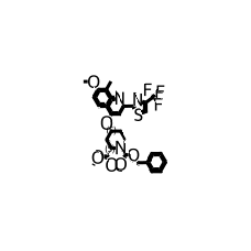 COC(=O)[C@@H]1C[C@@H](Oc2cc(-c3nc(C(F)(F)F)cs3)nc3c(C)c(OC)ccc23)CCN1C(=O)OCc1ccccc1